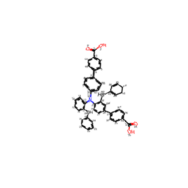 O=C(O)c1ccc(-c2ccc(N(c3ccccc3Bc3ccccc3)c3ccc(-c4ccc(C(=O)O)cc4)cc3BC3=CCCC=C3)cc2)cc1